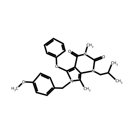 COc1ccc(Cn2c(Oc3ccccc3)c3c(=O)n(C)c(=O)n(CC(C)C)c3c2C)cc1